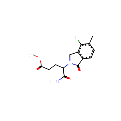 Cc1ccc2c(c1F)CN(C(CCC(=O)OC(C)(C)C)C(N)=O)C2=O